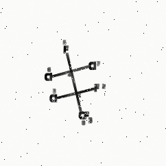 FC(F)(F)C(F)(Cl)C(F)(Cl)Cl